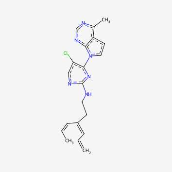 C=C/C=C(\C=C/C)CCNc1ncc(Cl)c(-n2ccc3c(C)ncnc32)n1